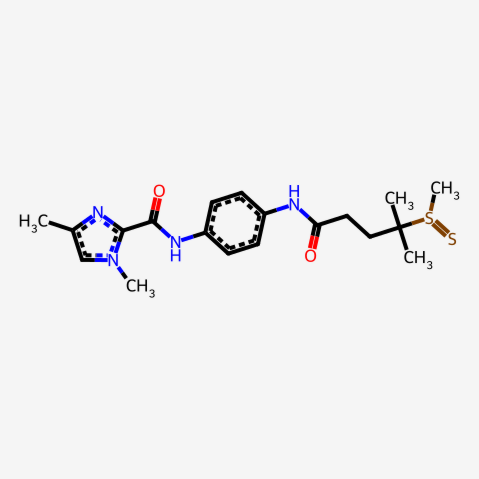 Cc1cn(C)c(C(=O)Nc2ccc(NC(=O)CCC(C)(C)S(C)=S)cc2)n1